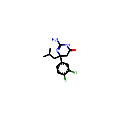 CC(C)CC1(c2ccc(Cl)c(Cl)c2)CC(=O)NC(N)=N1